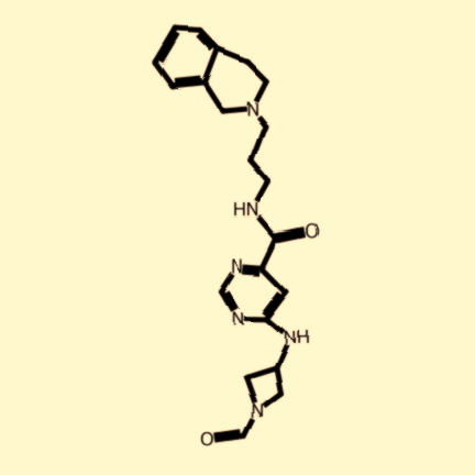 O=CN1CC(Nc2cc(C(=O)NCCCN3CCc4ccccc4C3)ncn2)C1